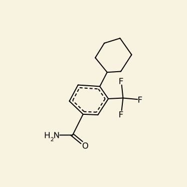 NC(=O)c1ccc(C2CCCCC2)c(C(F)(F)F)c1